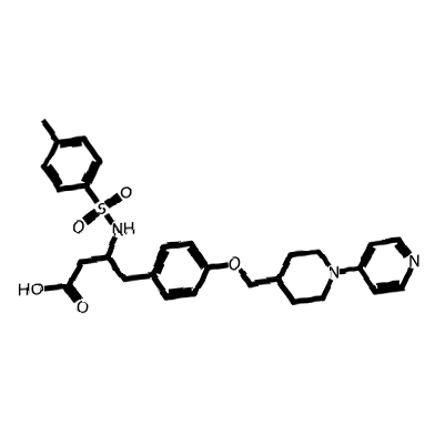 Cc1ccc(S(=O)(=O)NC(CC(=O)O)Cc2ccc(OCC3CCN(c4ccncc4)CC3)cc2)cc1